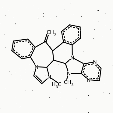 C=C1c2ccccc2N2C=CN(C)C2C2C1c1ccccc1N1c3nccnc3N(C)C21